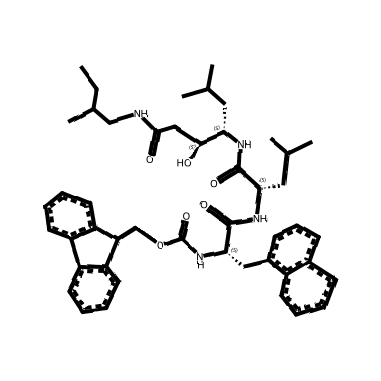 CCC(C)CNC(=O)C[C@H](O)[C@H](CC(C)C)NC(=O)[C@H](CC(C)C)NC(=O)[C@H](Cc1cccc2ccccc12)NC(=O)OCC1c2ccccc2-c2ccccc21